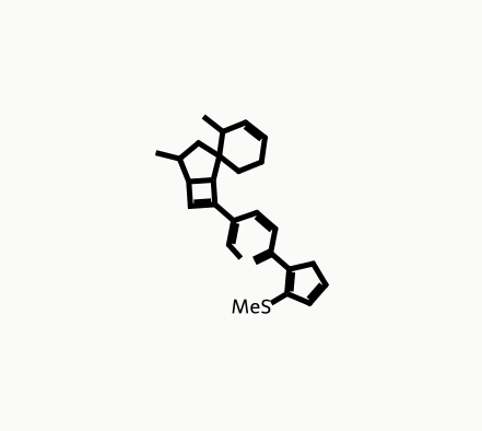 C=C(/C=C\C(=C/C)C1=CC2C(C)CC3(CCC=CC3C)C12)C1=C(SC)C=CC1